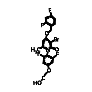 Cc1cc(OCc2ccc(F)cc2F)c(Br)c(=O)n1-c1c(F)cc(OCCO)cc1F